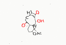 C=C1C(=O)C2=C[C@H]1CCC(=O)[C@]1(C)CC[C@H](OC(C)=O)C(C)(C)[C@H]1C[C@H]2O